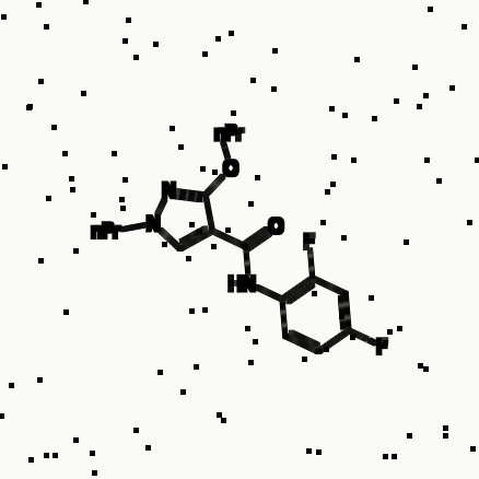 CCCOc1nn(CCC)cc1C(=O)Nc1ccc(F)cc1F